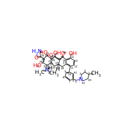 CC1CCN(Cc2cccc(-c3ccc(O)c4c3C[C@H]3C[C@H]5[C@H](N(C)C)C(O)=C(C(N)=O)C6(O)O[C@]56C(O)=C3C4=O)c2)CC1